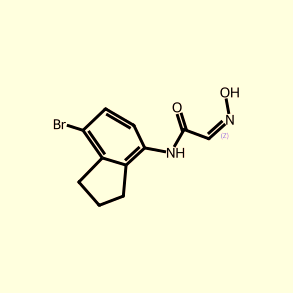 O=C(/C=N\O)Nc1ccc(Br)c2c1CCC2